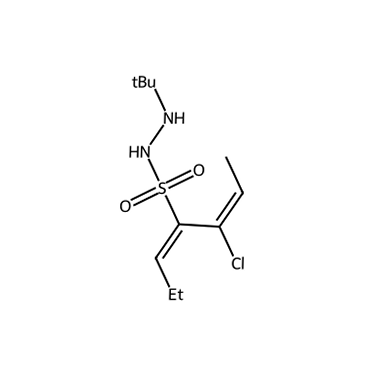 C/C=C(Cl)\C(=C/CC)S(=O)(=O)NNC(C)(C)C